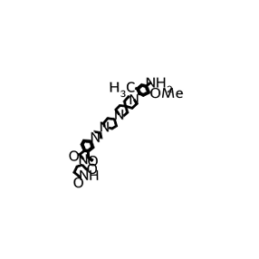 COc1cc(N2CCC3(CC2)CCN(C2CCN(C4CN(c5ccc6c(c5)C(=O)N(C5CCC(=O)NC5=O)C6=O)C4)CC2)CC3)c(C)cc1N